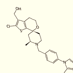 Cc1nccn1-c1ccc(CN2CC[C@]3(C[C@@H]2C)OCCc2c3sc(Cl)c2CO)cc1